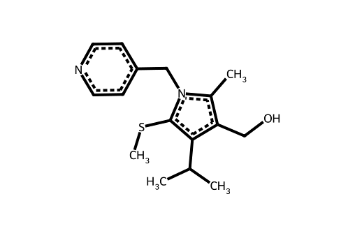 CSc1c(C(C)C)c(CO)c(C)n1Cc1ccncc1